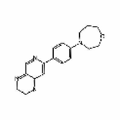 c1cc(N2CCCOCC2)ccc1-c1cc2c(cn1)=NCCN=2